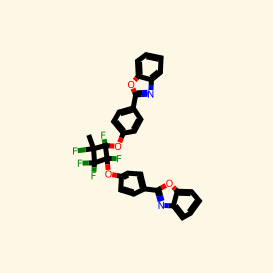 CC1(F)C(F)(F)C(F)(Oc2ccc(-c3nc4ccccc4o3)cc2)C1(F)Oc1ccc(-c2nc3ccccc3o2)cc1